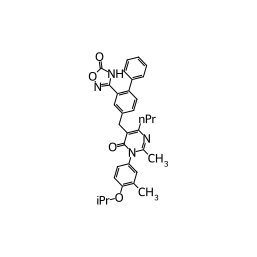 CCCc1nc(C)n(-c2ccc(OC(C)C)c(C)c2)c(=O)c1Cc1ccc(-c2ccccc2)c(-c2noc(=O)[nH]2)c1